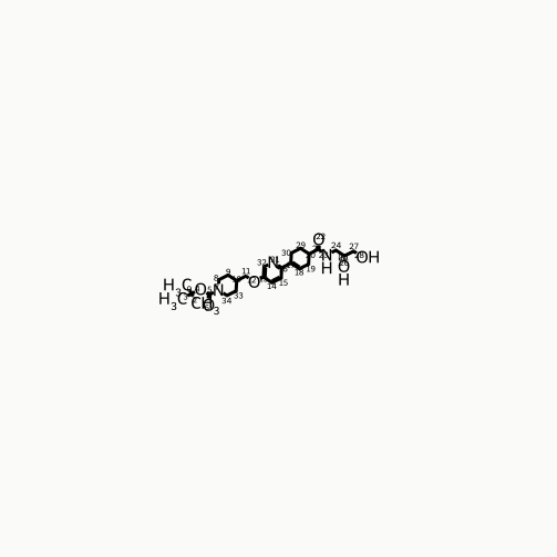 CC(C)(C)OC(=O)N1CCC(COc2ccc(C3=CCC(C(=O)NC[C@@H](O)CO)CC3)nc2)CC1